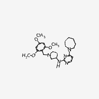 COc1cc(OC)c(CN2CCC(Nc3nccc(N4CCCCCC4)n3)C2)c(OC)c1